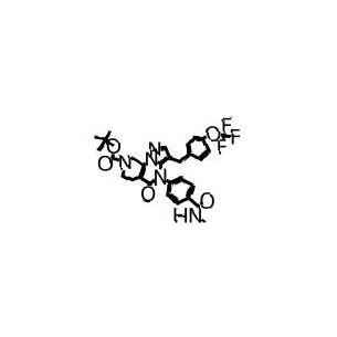 CNC(=O)c1ccc(-n2c(=O)c3c(n4ncc(Cc5ccc(OC(F)(F)F)cc5)c24)CN(C(=O)OC(C)(C)C)CC3)cc1